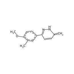 C=C1C=CC(c2ccc(OC)c(C)c2)=NN1